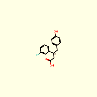 O=C(O)C[C@H](Cc1ccc(O)cc1)c1cccc(F)c1